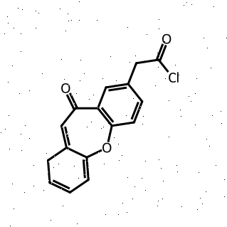 O=C(Cl)Cc1ccc2c(c1)C(=O)C=C1CC=CC=C1O2